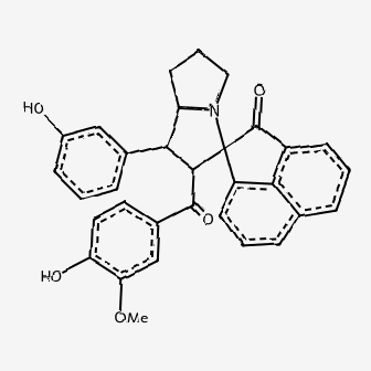 COc1cc(C(=O)C2C(c3cccc(O)c3)C3CCCN3C23C(=O)c2cccc4cccc3c24)ccc1O